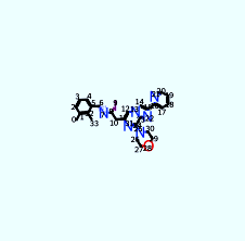 Cc1cccc(/C=N/C(I)Cc2cn3cc(-c4ccccn4)nc3c(N3CCOCC3)n2)c1C